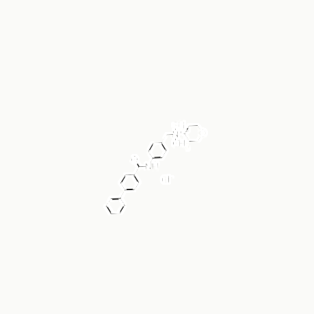 C[N+](C)(Cc1ccc(NC(=O)c2ccc(-c3ccccc3)cc2)cc1)C1CCOCC1.[Cl-]